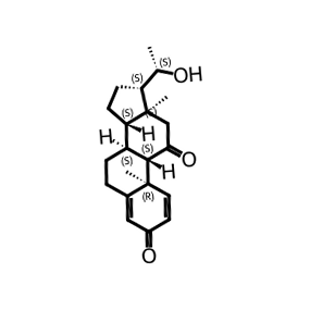 C[C@H](O)[C@H]1CC[C@H]2[C@@H]3CCC4=CC(=O)C=C[C@]4(C)[C@H]3C(=O)C[C@]12C